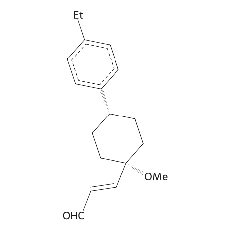 CCc1ccc([C@H]2CC[C@@](C=CC=O)(OC)CC2)cc1